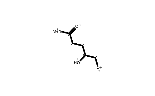 CNC(=O)CCC(O)CO